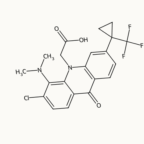 CN(C)c1c(Cl)ccc2c(=O)c3ccc(C4(C(F)(F)F)CC4)cc3n(CC(=O)O)c12